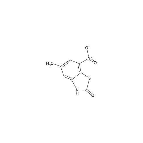 Cc1cc([N+](=O)[O-])c2sc(=O)[nH]c2c1